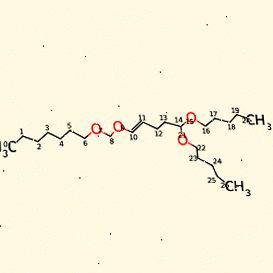 CCCCCCCOCOC=CCCC(OCCCCC)OCCCCC